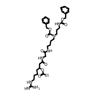 CCC(=O)OC(CCCCNC(=N)N)CC(=O)NCC(=O)NCCCCN(CCCNC(=O)OCc1ccccc1)C(=O)OCc1ccccc1